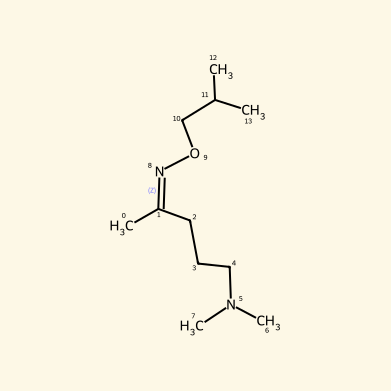 C/C(CCCN(C)C)=N/OCC(C)C